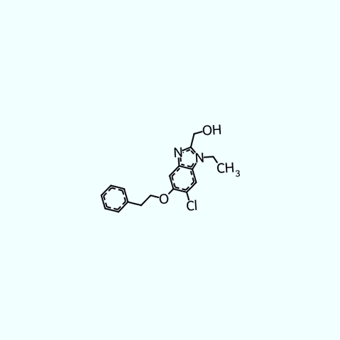 CCn1c(CO)nc2cc(OCCc3ccccc3)c(Cl)cc21